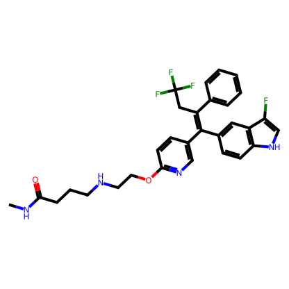 CNC(=O)CCCNCCOc1ccc(C(=C(CC(F)(F)F)c2ccccc2)c2ccc3[nH]cc(F)c3c2)cn1